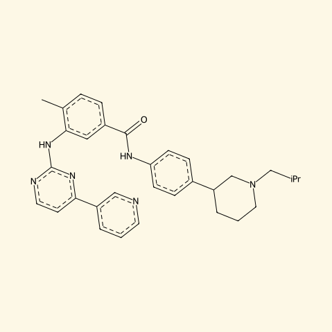 Cc1ccc(C(=O)Nc2ccc(C3CCCN(CC(C)C)C3)cc2)cc1Nc1nccc(-c2cccnc2)n1